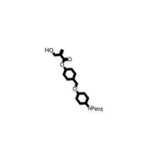 C=C(CO)C(=O)OC1CCC(COC2CCC(CCCCC)CC2)CC1